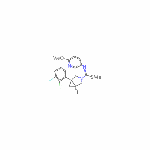 COc1ccc(/N=C(/SC)N2C[C@@H]3C[C@]3(c3cccc(F)c3Cl)C2)cn1